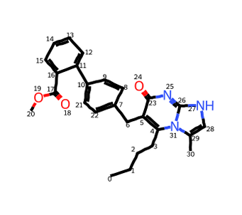 CCCCc1c(Cc2ccc(-c3ccccc3C(=O)OC)cc2)c(=O)nc2[nH]cc(C)n12